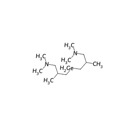 CC([CH2][GeH2][CH2]C(C)CN(C)C)CN(C)C